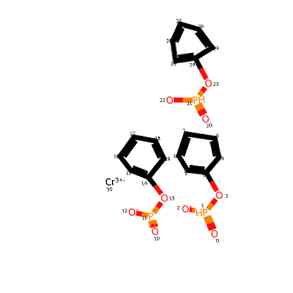 O=[PH]([O-])Oc1ccccc1.O=[PH]([O-])Oc1ccccc1.O=[PH]([O-])Oc1ccccc1.[Cr+3]